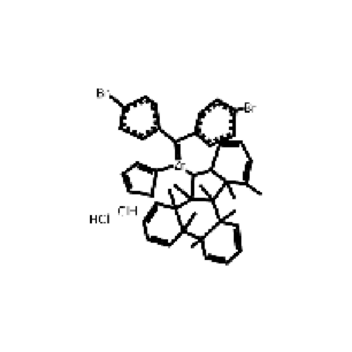 CC1=CC=CC2[CH]([Zr]([C]3=CC=CC3)=[C](c3ccc(Br)cc3)c3ccc(Br)cc3)C3(C)C4(C)C=CC=CC4(C)C4(C)C=CC=CC4(C)C3(C)C12C.Cl.Cl